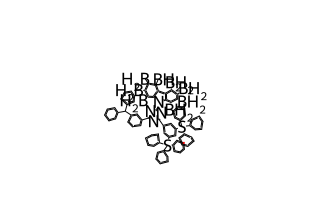 Bc1c(B)c(B)c2c(c1B)c1c(B)c(B)c(B)c(B)c1n2-c1nc(-c2cccc(C(c3ccccc3)c3ccccc3)c2)nc(-c2cc(S(c3ccccc3)(c3ccccc3)c3ccccc3)cc(S(c3ccccc3)(c3ccccc3)c3ccccc3)c2)n1